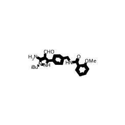 CCC(C)N1NC(c2ccc(CNC(=O)c3ccccc3OC)cc2)C(C=O)=C1N